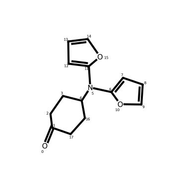 O=C1CCC(N(c2ccco2)c2ccco2)CC1